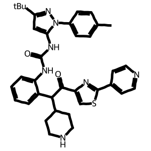 Cc1ccc(-n2nc(C(C)(C)C)cc2NC(=O)Nc2ccccc2C(C(=O)c2csc(-c3ccncc3)n2)C2CCNCC2)cc1